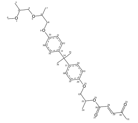 COC(C)COC(C)COc1ccc(C(C)(C)c2ccc(OCC(C)OC(=O)/C=C/C(C)=O)cc2)cc1